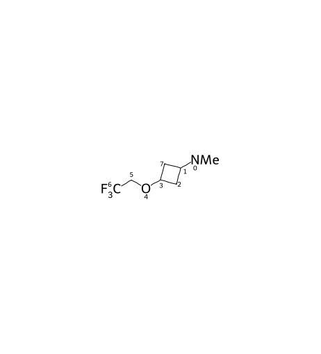 CNC1CC(OCC(F)(F)F)C1